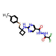 Cc1ccc(SCC2(Nc3ncc(C(=O)NNC(=O)C(F)F)cn3)CCC2)cc1